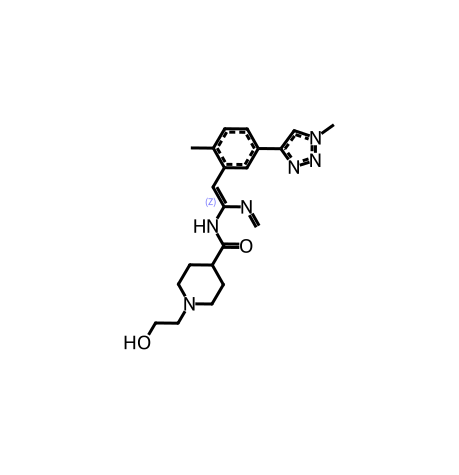 C=N/C(=C\c1cc(-c2cn(C)nn2)ccc1C)NC(=O)C1CCN(CCO)CC1